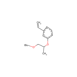 C=Cc1cccc(OC(C)COC(C)(C)C)c1